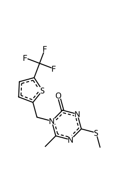 CSc1nc(C)n(Cc2ccc(C(F)(F)F)s2)c(=O)n1